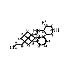 O=C(N[C@@H]1CCNC[C@H]1F)C12CC3CC4(CCCl)C[C@@](c5ccccc5)(C1)C342